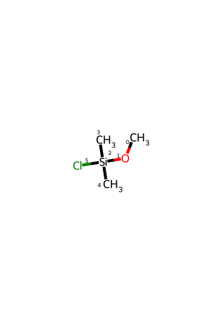 CO[Si](C)(C)Cl